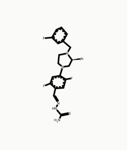 CC(C)[C@H]1CN(c2cc(F)c(/C=N/NC(N)=S)cc2F)CCN1Cc1cccc(F)c1